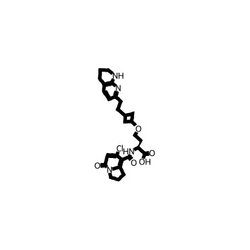 O=C(N[C@@H](CCOC1CC(CCc2ccc3c(n2)NCCC3)C1)C(=O)O)c1c(Cl)cc(=O)n2c1CCC2